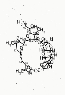 C=C1C[C@@H]2CC[C@@]34C[C@H]5O[C@H]6[C@@H](O3)[C@H]3O[C@H](CC[C@@H]3O[C@H]6[C@H]5O4)CC(=O)C[C@H]3C(CC4OC(CCC1O2)C[C@@H](C)C4=C)OC([C@@H](O)CN)C3OC